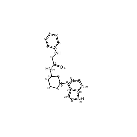 O=C(CNc1ccccc1)NC1CCCN(c2ncnc3[nH]ccc23)C1